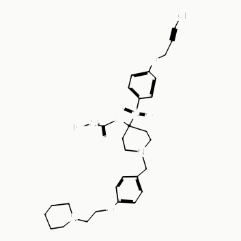 CC#CCOc1ccc(S(=O)(=O)C2(OC(=O)NO)CCN(Cc3ccc(OCCN4CCCCC4)cc3)CC2)cc1